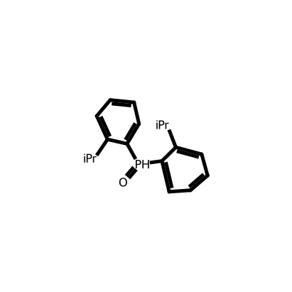 CC(C)c1ccccc1[PH](=O)c1ccccc1C(C)C